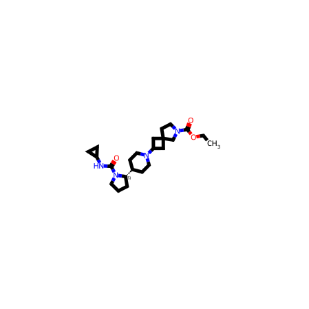 CCOC(=O)N1CCC2(CC(N3CCC([C@@H]4CCCN4C(=O)NC4CC4)CC3)C2)C1